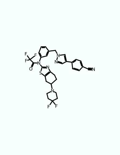 N#Cc1ccc(-c2cnn(Cc3cccc(N(C(=O)C(F)(F)F)c4nc5c(s4)CC(N4CCC(F)(F)CC4)CC5)c3)c2)cc1